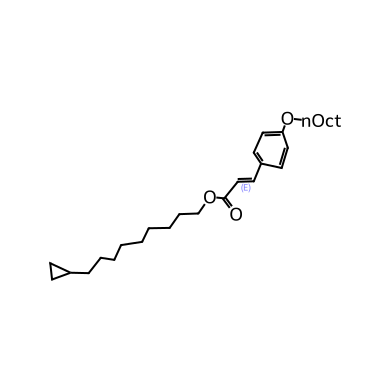 CCCCCCCCOc1ccc(/C=C/C(=O)OCCCCCCCCCC2CC2)cc1